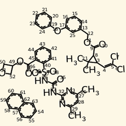 CC1(C)C(C=C(Cl)Cl)C1C(=O)OCc1cccc(Oc2ccccc2)c1.Cc1cc(C)nc(NC(=O)NS(=O)(=O)c2ccccc2C(=O)OC2COC2)n1.c1ccc2ccccc2c1